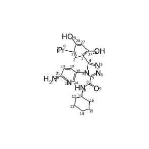 CC(C)c1cc(-c2nnc(C(=O)NC3CCCCC3)n2-c2ccc(N)nc2)c(O)cc1O